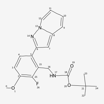 COc1ccc(-c2cc3ccccn3n2)c(CNC(=O)OC(C)(C)C)c1F